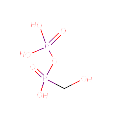 O=P(O)(O)OP(=O)(O)CO